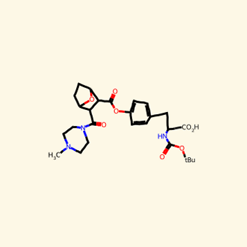 CN1CCN(C(=O)C2C3CCC(O3)C2C(=O)Oc2ccc(CC(NC(=O)OC(C)(C)C)C(=O)O)cc2)CC1